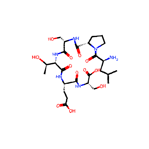 CC(C)C[C@H](N)C(=O)N1CCC[C@H]1C(=O)N[C@@H](CO)C(=O)N[C@H](C(=O)N[C@@H](CCC(=O)O)C(=O)N[C@@H](CO)C(=O)O)[C@@H](C)O